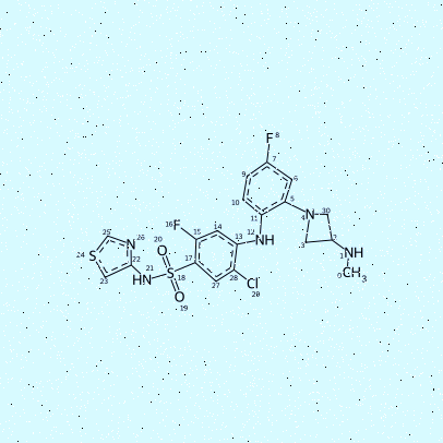 CNC1CN(c2cc(F)ccc2Nc2cc(F)c(S(=O)(=O)Nc3cscn3)cc2Cl)C1